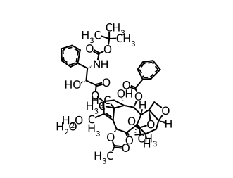 CC(=O)O[C@H]1C(=O)[C@]23C[C@H]2C[C@H]2OC[C@@]2(OC(C)=O)[C@H]3[C@H](OC(=O)c2ccccc2)[C@]2(O)C[C@H](OC(=O)[C@H](O)[C@@H](NC(=O)OC(C)(C)C)c3ccccc3)C(C)=C1C2(C)C.O.O